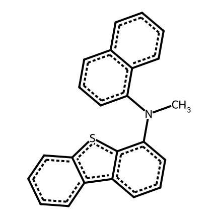 CN(c1cccc2ccccc12)c1cccc2c1sc1ccccc12